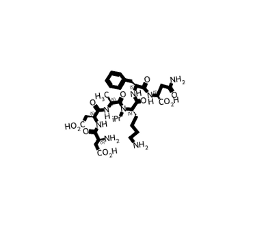 CC(C)N(C(=O)[C@H](C)NC(=O)[C@H](CC(=O)O)NC(=O)[C@@H](N)CC(=O)O)[C@@H](CCCCN)C(=O)N[C@@H](Cc1ccccc1)C(=O)N[C@@H](CC(N)=O)C(=O)O